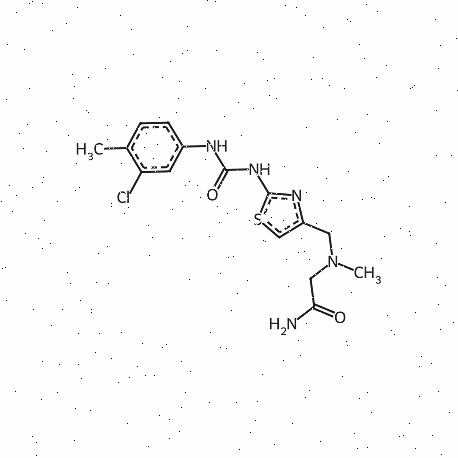 Cc1ccc(NC(=O)Nc2nc(CN(C)CC(N)=O)cs2)cc1Cl